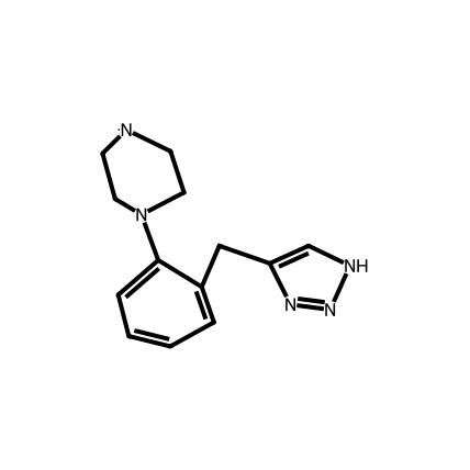 c1ccc(N2CC[N]CC2)c(Cc2c[nH]nn2)c1